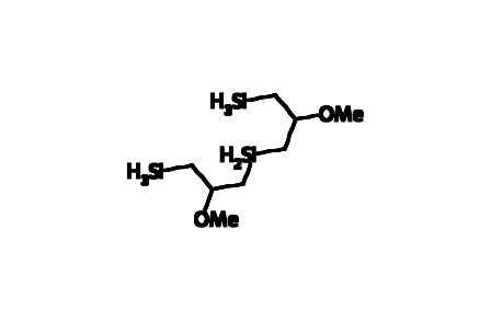 COC(C[SiH3])C[SiH2]CC(C[SiH3])OC